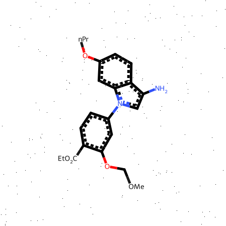 CCCOc1ccc2c(N)cn(-c3ccc(C(=O)OCC)c(OCOC)c3)c2c1